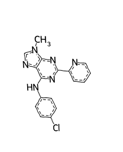 Cn1cnc2c(Nc3ccc(Cl)cc3)nc(-c3ccccn3)nc21